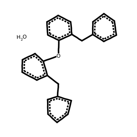 O.c1ccc(Cc2ccccc2Oc2ccccc2Cc2ccccc2)cc1